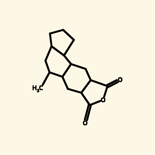 CC1CC2CCCC2C2CC3C(=O)OC(=O)C3CC12